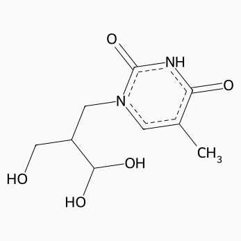 Cc1cn(CC(CO)C(O)O)c(=O)[nH]c1=O